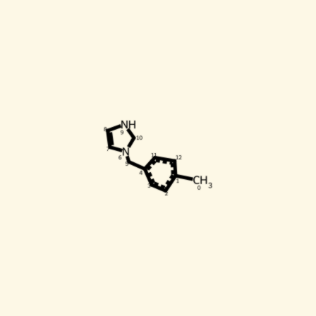 Cc1ccc(CN2C=CNC2)cc1